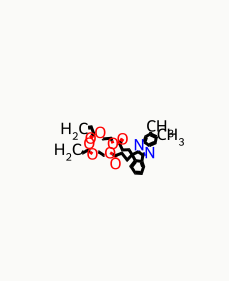 C=CC(=O)OCCOC(=O)CCC1(CCC(=O)OCCOC(=O)C=C)c2ccccc2-c2nc3cc(C)c(C)cc3nc21